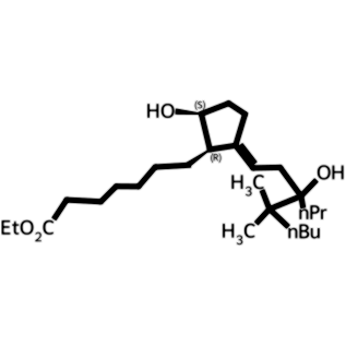 CCCCC(C)(C)C(O)(CC=C1CC[C@H](O)[C@@H]1CCCCCCC(=O)OCC)CCC